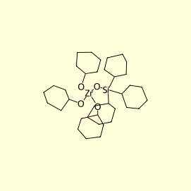 C1CCC([O][Zr]([O]C2CCCCC2)([O]C2CCCCC2)[O][Si](C2CCCCC2)(C2CCCCC2)C2CCCCC2)CC1